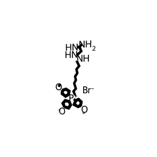 COc1ccc([P+](CCCCCCCCCCNC(=N)CC(=N)N)(c2ccc(OC)cc2)c2ccc(OC)cc2)cc1.[Br-]